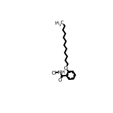 CCCCCCCCCCCCOc1ccccc1C(=O)NCl